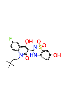 CC(C)(C)CCn1c(=O)c(C2=NS(=O)(=O)c3cc(O)ccc3N2)c(O)c2cc(F)ccc21